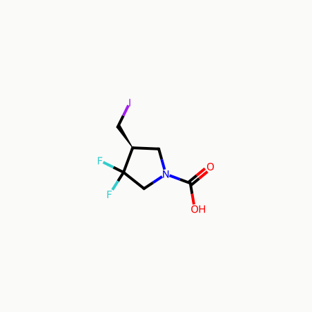 O=C(O)N1C[C@H](CI)C(F)(F)C1